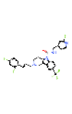 O=C(NCc1ccnc(F)c1)n1c2c(c3cc(C(F)(F)F)ccc31)CN(CC=Cc1ccc(F)cc1F)CC2